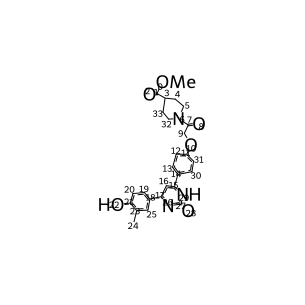 COC(=O)C1CCN(C(=O)COc2ccc(-c3cc(-c4ccc(O)c(C)c4)nc(=O)[nH]3)cc2)CC1